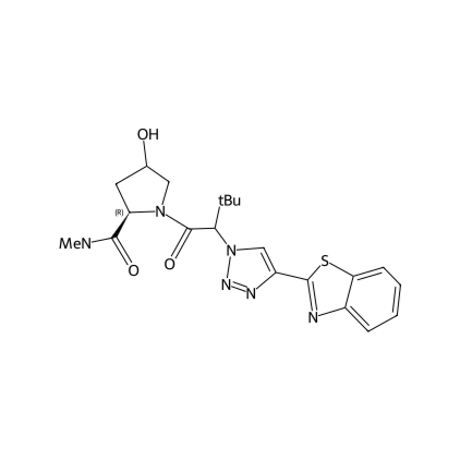 CNC(=O)[C@H]1CC(O)CN1C(=O)C(n1cc(-c2nc3ccccc3s2)nn1)C(C)(C)C